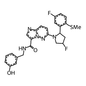 CSc1ccc(F)cc1C1CC(F)CN1c1ccc2ncc(C(=O)NCc3cccc(O)c3)n2n1